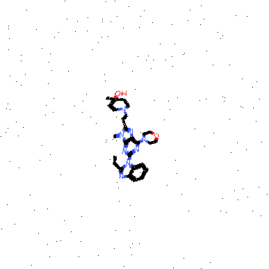 CCc1nc2ccccc2n1-c1nc(N2CCOCC2)c2nc(CCN3CCC(C)(O)CC3)n(C)c2n1